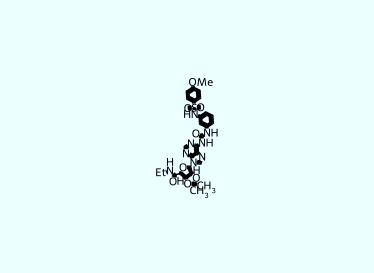 CCNC(=O)[C@H]1O[C@@H](n2cnc3c(NC(=O)Nc4cccc(NS(=O)(=O)c5ccc(OC)cc5)c4)ncnc32)[C@@H]2OC(C)(C)O[C@@H]21